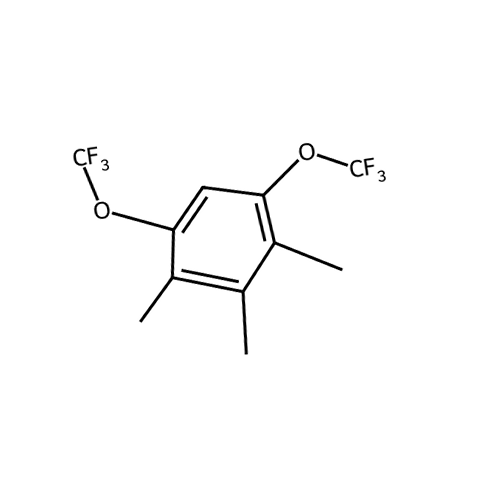 Cc1c(OC(F)(F)F)cc(OC(F)(F)F)c(C)c1C